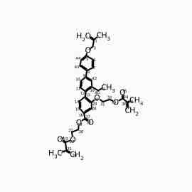 C=C(C)COc1ccc(-c2ccc(-c3ccc(C(=O)OCCOC(=O)C(=C)C)cc3OCCOC(=O)C(=C)C)c(CC)c2)cc1